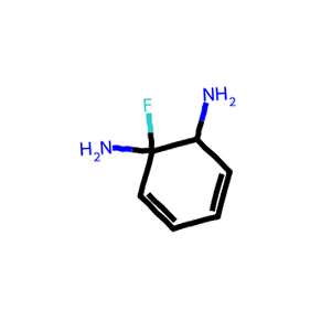 NC1C=CC=CC1(N)F